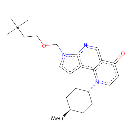 CO[C@H]1CC[C@H](n2ccc(=O)c3cnc4c(ccn4COCC[Si](C)(C)C)c32)CC1